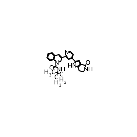 CC(C)(C)NC(=O)N1CC(c2cc(-c3cc4c([nH]3)CCNC4=O)ccn2)=Cc2ccccc21